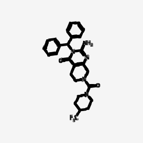 Nc1nc2c(c(=O)n1C(c1ccccc1)c1ccccc1)CCN(C(=O)N1CCC(C(F)(F)F)CC1)C2